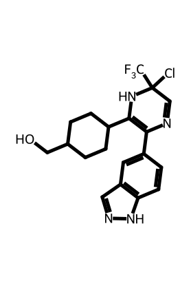 OCC1CCC(C2=C(c3ccc4[nH]ncc4c3)N=CC(Cl)(C(F)(F)F)N2)CC1